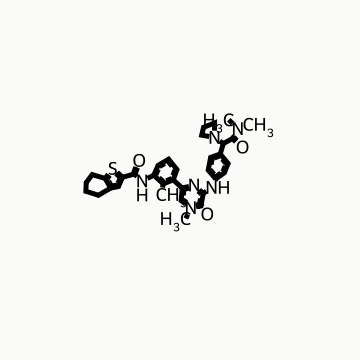 Cc1c(NC(=O)c2cc3c(s2)CCCC3)cccc1-c1cn(C)c(=O)c(Nc2ccc(C(C(=O)N(C)C)N3CCC3)cc2)n1